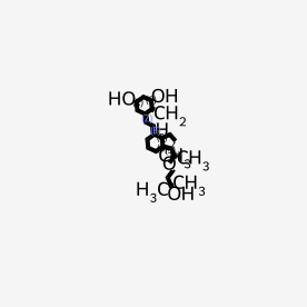 C=C1/C(=C\C=C2/CCC[C@]3(C)[C@@H]([C@H](C)OCCC(C)(C)O)CC[C@@H]23)C[C@@H](O)C[C@@H]1O